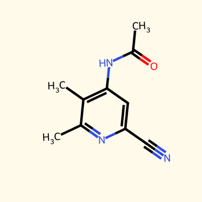 CC(=O)Nc1cc(C#N)nc(C)c1C